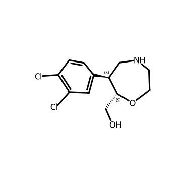 OC[C@H]1OCCNC[C@@H]1c1ccc(Cl)c(Cl)c1